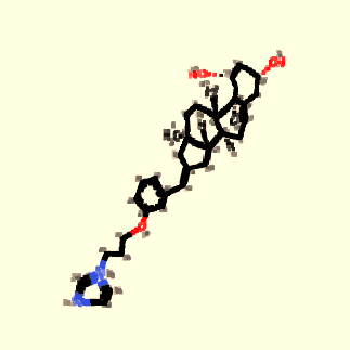 C[C@]12CC[C@H]3[C@@H](CC=C4C[C@@H](O)C[C@@H](O)[C@@]43C)[C@@H]1CC(=Cc1cccc(OCCCn3ccnc3)c1)C2